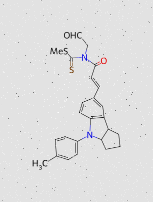 CSC(=S)N(CC=O)C(=O)/C=C/c1ccc2c(c1)C1CCCC1N2c1ccc(C)cc1